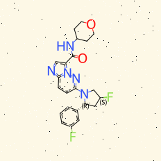 O=C(NC1CCOCC1)c1cnc2ccc(N3C[C@@H](F)C[C@@H]3c3cccc(F)c3)nn12